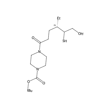 CC[C@@H](CCC(=O)N1CCN(C(=O)OC(C)(C)C)CC1)C(S)CO